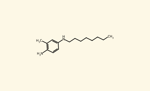 CCCCCCCCNc1ccc(N)c(C)c1